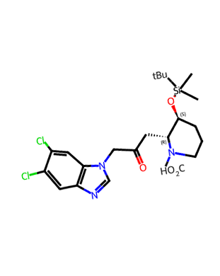 CC(C)(C)[Si](C)(C)O[C@H]1CCCN(C(=O)O)[C@@H]1CC(=O)Cn1cnc2cc(Cl)c(Cl)cc21